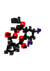 CC(C)(C)OC(=O)c1cc(I)cc(I)c1OC(=O)C1C2C=CC(C2)C1C(=O)OCC(F)(F)F